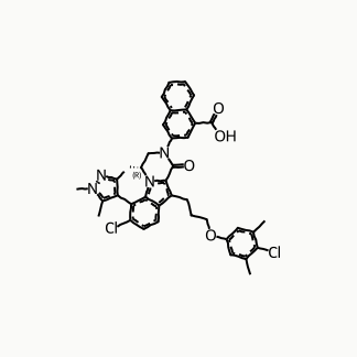 Cc1cc(OCCCc2c3n(c4c(-c5c(C)nn(C)c5C)c(Cl)ccc24)[C@H](C)CN(c2cc(C(=O)O)c4ccccc4c2)C3=O)cc(C)c1Cl